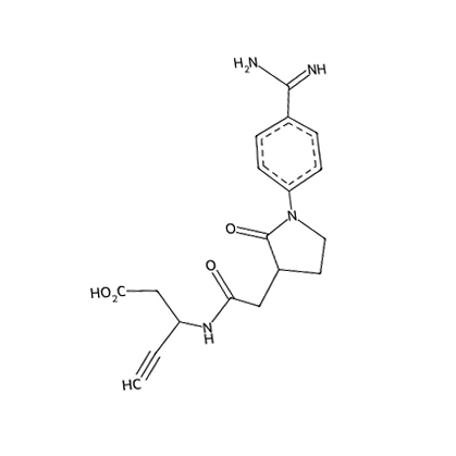 C#CC(CC(=O)O)NC(=O)CC1CCN(c2ccc(C(=N)N)cc2)C1=O